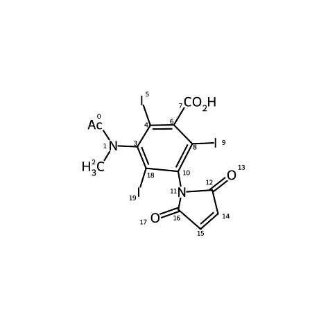 CC(=O)N(C)c1c(I)c(C(=O)O)c(I)c(N2C(=O)C=CC2=O)c1I